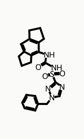 O=C(Nc1c2c(cc3c1CCC3)CCC2)NS(=O)(=O)c1ncn(Cc2ccccc2)n1